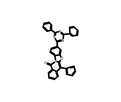 O=c1c2ccccc2c(-c2ccccc2)c2oc3cc(-c4nc(-c5ccccc5)nc(-c5ccccc5)n4)ccc3n12